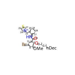 CCCCCCCCCCCCCCOc1c(OC)cccc1C(=O)Nc1ccccc1C[n+]1ccsc1.[Br-]